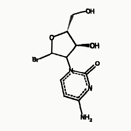 Nc1ccn(C2C(Br)O[C@H](CO)[C@H]2O)c(=O)n1